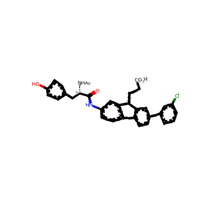 CC(=O)N[C@@H](Cc1ccc(O)cc1)C(=O)Nc1ccc2c(c1)C(CCC(=O)O)c1cc(-c3cccc(Cl)c3)ccc1-2